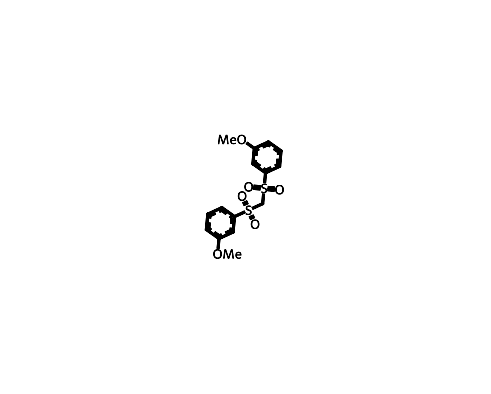 COc1cccc(S(=O)(=O)CS(=O)(=O)c2cccc(OC)c2)c1